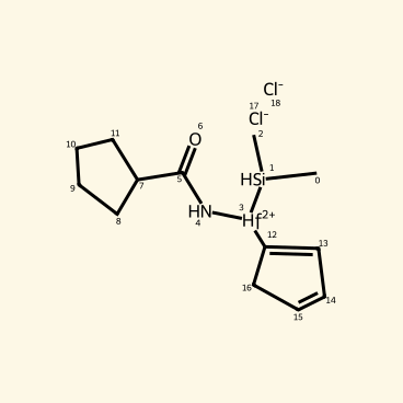 C[SiH](C)[Hf+2]([NH]C(=O)C1CCCC1)[C]1=CC=CC1.[Cl-].[Cl-]